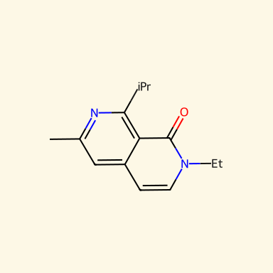 CCn1ccc2cc(C)nc(C(C)C)c2c1=O